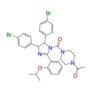 CC(=O)N1CCN(C(=O)N2C(c3ccccc3OC(C)C)=NC(c3ccc(Br)cc3)C2c2ccc(Br)cc2)CC1